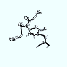 C=C(C)Cc1cnc(N(C(=O)OC(C)(C)C)C(=O)OC(C)(C)C)cn1